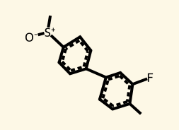 Cc1ccc(-c2ccc([S+](C)[O-])cc2)cc1F